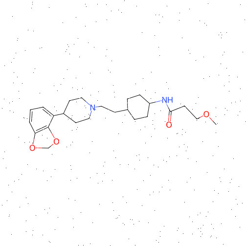 COCCC(=O)NC1CCC(CCN2CCC(c3cccc4c3OCO4)CC2)CC1